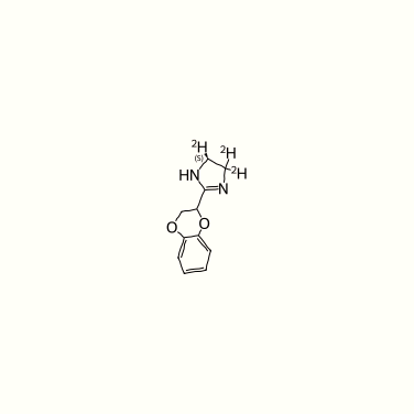 [2H][C@@H]1NC(C2COc3ccccc3O2)=NC1([2H])[2H]